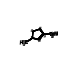 CC1C=C([TeH])CC1